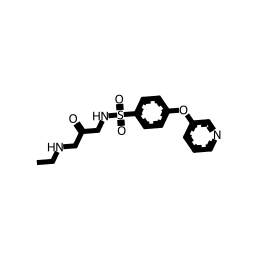 CCNCC(=O)CNS(=O)(=O)c1ccc(Oc2cccnc2)cc1